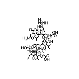 CC[C@H](C)[C@H](NC(=O)[C@H](Cc1c[nH]cn1)NC(=O)[C@H](CCC(=O)O)NC(=O)[C@@H](NC(=O)[C@@H](NC(=O)[C@@H](N)[C@@H](C)O)[C@@H](C)CC)C(C)C)C(=O)N[C@@H](CCC(=O)O)C(=O)N[C@@H](CCCNC(=N)N)C(=O)N[C@@H](CC(C)C)C(=O)N[C@@H](CC(N)=O)C(=O)O